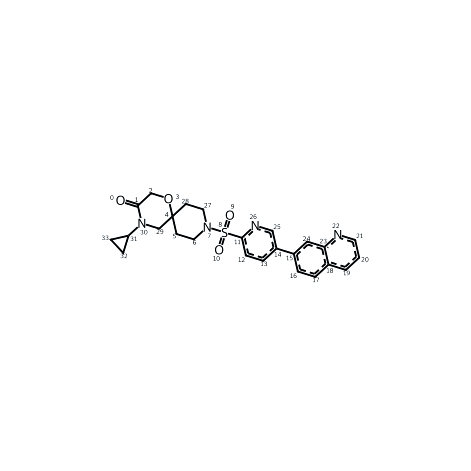 O=C1COC2(CCN(S(=O)(=O)c3ccc(-c4ccc5cccnc5c4)cn3)CC2)CN1C1CC1